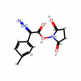 Cc1ccc(C(=[N+]=[N-])C(=O)ON2C(=O)CCC2=O)cc1